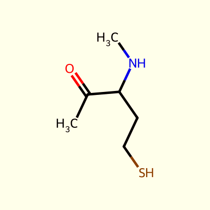 CNC(CCS)C(C)=O